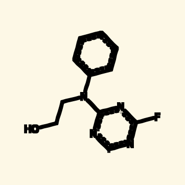 OCCN(c1ccccc1)c1n[c]nc(F)n1